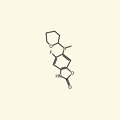 CN(c1cc2oc(=O)[nH]c2cc1F)C1CCCCO1